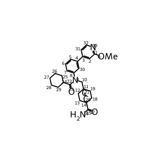 COc1cc(-c2cccc(N(CC34CCC(C(N)=O)(CC3)CC4)C(=O)C3CCCCC3)c2)ccn1